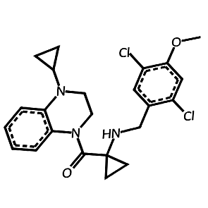 COc1cc(Cl)c(CNC2(C(=O)N3CCN(C4CC4)c4ccccc43)CC2)cc1Cl